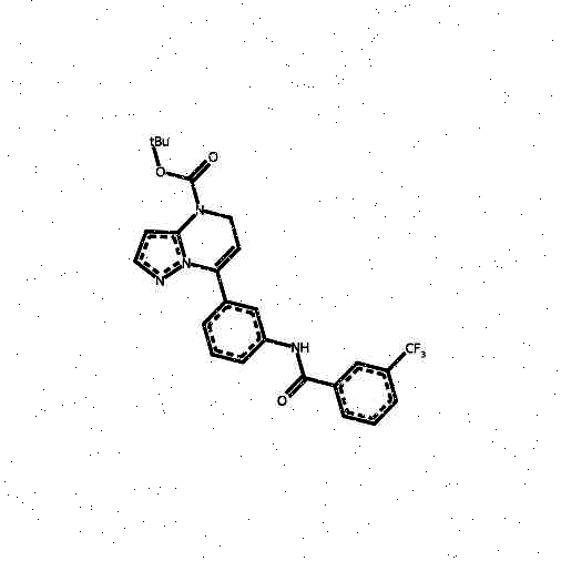 CC(C)(C)OC(=O)N1CC=C(c2cccc(NC(=O)c3cccc(C(F)(F)F)c3)c2)n2nccc21